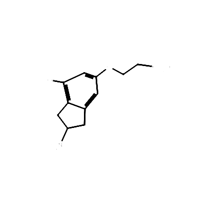 CCOC(=O)CCOc1cc(O)c2c(c1)CC(N)C2